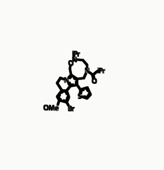 COc1cc2c(cc1Br)-c1c(-c3cccs3)c3c(n1CC2)CON(C(C)C)CCN(C(=O)C(C)C)C3